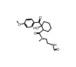 COc1ccc(C(=O)C2(O)CCCCC2C(=O)N(C)CCNC=O)cc1